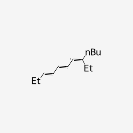 CCC=CC=C/[C]=C(\CC)CCCC